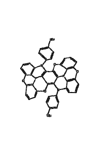 CC(C)(C)c1ccc(-n2c3cccc4oc5cccc6oc7c8c9c(oc%10cccc%11oc%12cccc(c%12p9c%11%10)n8-c8ccc(C(C)(C)C)cc8)c2c7p(c56)c43)cc1